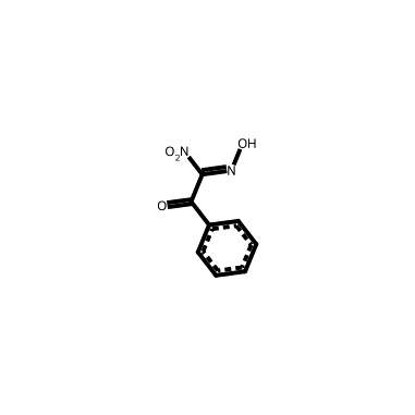 O=C(C(=NO)[N+](=O)[O-])c1ccccc1